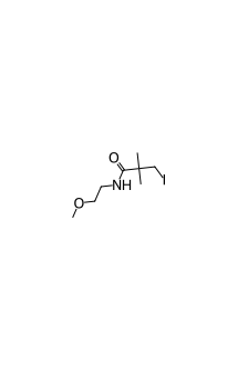 COCCNC(=O)C(C)(C)CI